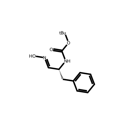 CC(C)(C)OC(=O)N[C@@H](/C=N/O)Cc1ccccc1